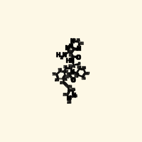 C[C@H](NC(=O)c1c(N)nn2nccnc12)c1cc2cccc(C#Cc3cnn(C)c3)c2c(=O)n1-c1ccccc1